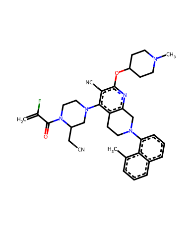 C=C(F)C(=O)N1CCN(c2c(C#N)c(OC3CCN(C)CC3)nc3c2CCN(c2cccc4cccc(C)c24)C3)CC1CC#N